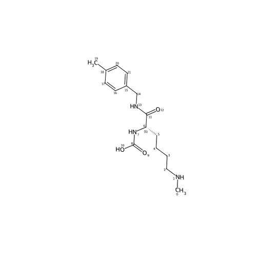 CNCCCC[C@H](NC(=O)O)C(=O)NCc1ccc(C)cc1